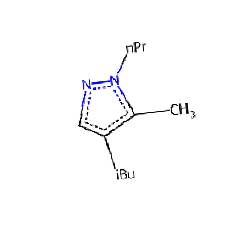 CCCn1ncc(C(C)CC)c1C